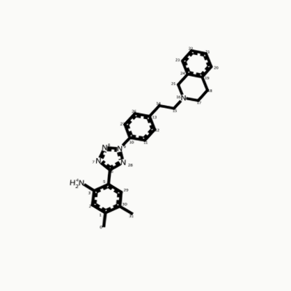 Cc1cc(N)c(-c2nnn(-c3ccc(CCN4CCc5ccccc5C4)cc3)n2)cc1C